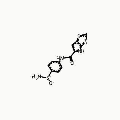 N[S+]([O-])c1ccc(NC(=O)c2cc3scnc3[nH]2)cc1